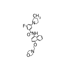 CC1CCCN(c2cc(F)cc(C(=O)Nc3ccc(OCCN4CCOCC4)c4ccccc34)c2)C1